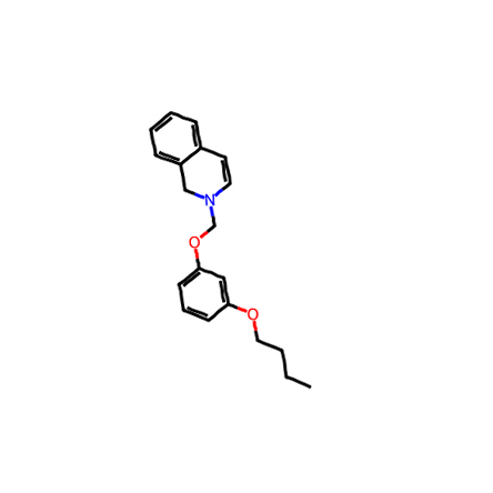 CCCCOc1cccc(OCN2C=Cc3ccccc3C2)c1